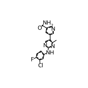 Cc1nc(Nc2ccc(F)c(Cl)c2)ncc1-c1cncc(C(N)=O)c1